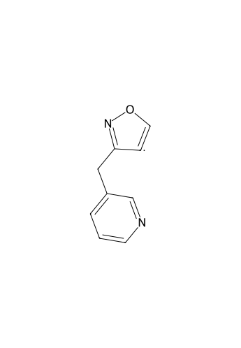 [c]1conc1Cc1cccnc1